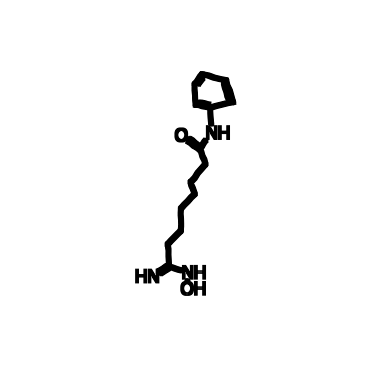 N=C(CCCCCCC(=O)Nc1ccccc1)NO